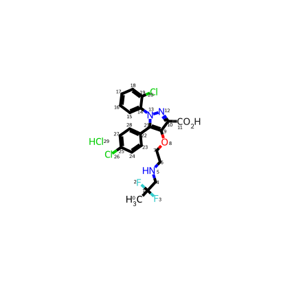 CC(F)(F)CNCCOc1c(C(=O)O)nn(-c2ccccc2Cl)c1-c1ccc(Cl)cc1.Cl